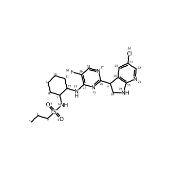 CCCS(=O)(=O)NC1CCCCC1Nc1nc(C2CNc3ncc(Cl)cc32)ncc1F